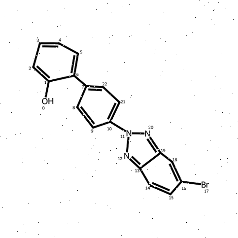 Oc1ccccc1-c1ccc(-n2nc3ccc(Br)cc3n2)cc1